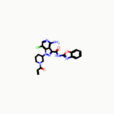 C=CC(=O)N1CCCC(n2nc(C(=O)Nc3nc4ccccc4o3)c3c(N)ncc(Cl)c32)C1